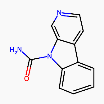 NC(=O)n1c2ccccc2c2ccncc21